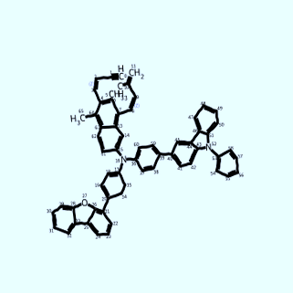 C#C/C=C\c1c(C)c(/C=C\C(=C)C)c2cc(N(C3=CC=C(c4cccc5c4oc4ccccc45)CC3)c3ccc(-c4ccc5c(c4)c4ccccc4n5-c4ccccc4)cc3)ccc2c1C